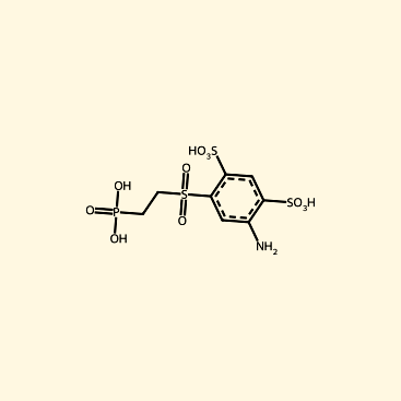 Nc1cc(S(=O)(=O)CCP(=O)(O)O)c(S(=O)(=O)O)cc1S(=O)(=O)O